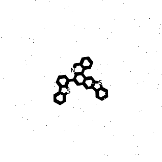 c1ccc2c(c1)cnc1c(-c3cccc4c3sc3ccccc34)cc3cc4c(cc3c12)sc1ccccc14